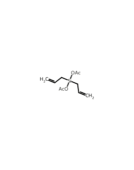 C=CC[Si](CC=C)(OC(C)=O)OC(C)=O